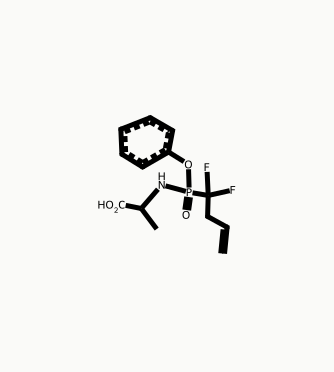 C=CCC(F)(F)P(=O)(NC(C)C(=O)O)Oc1ccccc1